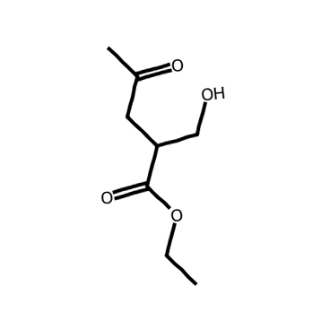 CCOC(=O)C(CO)CC(C)=O